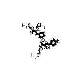 CCCO/N=C(/COc1cccc(CC(OCC)C(=O)OCC)c1)c1cc(-c2ccc(F)cc2)no1